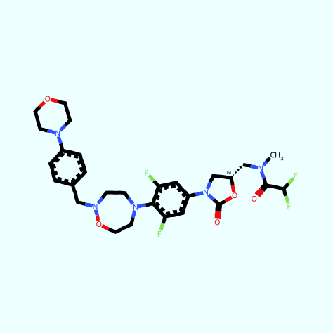 CN(C[C@H]1CN(c2cc(F)c(N3CCON(Cc4ccc(N5CCOCC5)cc4)CC3)c(F)c2)C(=O)O1)C(=O)C(F)F